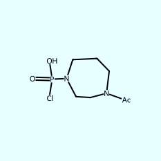 CC(=O)N1CCCN(P(=O)(O)Cl)CC1